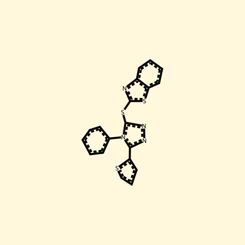 c1ccc(-n2c(Sc3nc4ccccc4s3)nnc2-c2cccs2)cc1